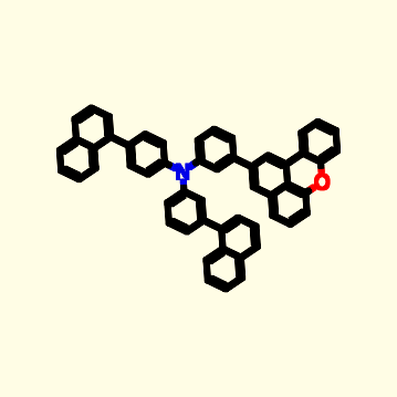 c1cc(-c2cc3c4c(cccc4c2)Oc2ccccc2-3)cc(N(c2ccc(-c3cccc4ccccc34)cc2)c2cccc(-c3cccc4ccccc34)c2)c1